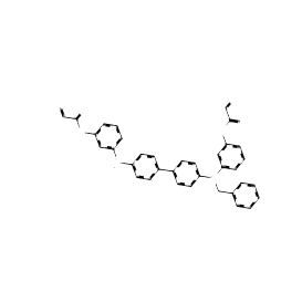 C=CC(=O)Oc1cccc(N(C)c2ccc(-c3ccc(N(Cc4ccccc4)c4cccc(OC(=O)C=C)c4)cc3)cc2)c1